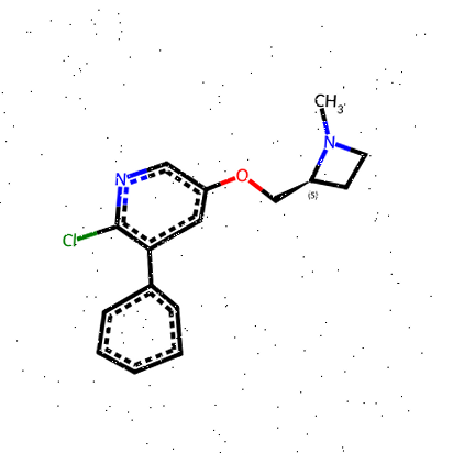 CN1CC[C@H]1COc1cnc(Cl)c(-c2ccccc2)c1